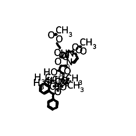 CC(=O)OCCOC(OCCOC(C)=O)OC1C(O)[C@H](CO[Si](OC(c2ccccc2)c2ccccc2)(O[Si](C)(C)C)O[Si](C)(C)C)O[C@@H]1n1ccc(=O)[nH]c1=O